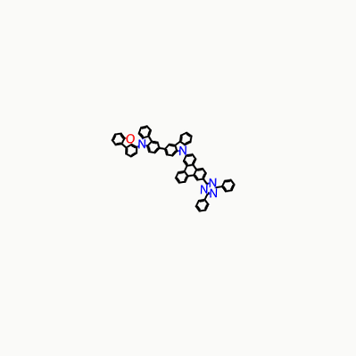 c1ccc(-c2nc(-c3ccccc3)nc(-c3ccc4c5ccc(-n6c7ccccc7c7cc(-c8ccc9c(c8)c8ccccc8n9-c8cccc9c8oc8ccccc89)ccc76)cc5c5ccccc5c4c3)n2)cc1